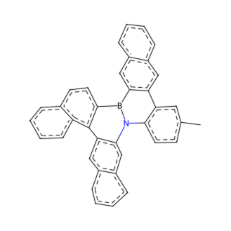 Cc1ccc2c(c1)-c1cc3ccccc3cc1B1c3ccc4ccccc4c3-c3cc4ccccc4cc3N12